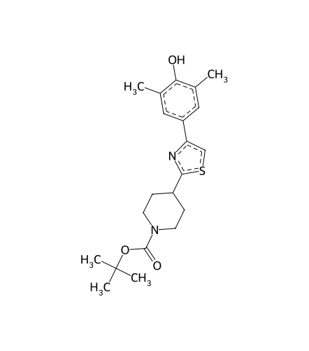 Cc1cc(-c2csc(C3CCN(C(=O)OC(C)(C)C)CC3)n2)cc(C)c1O